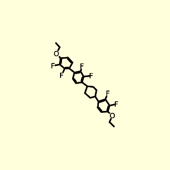 CCOc1ccc(-c2ccc(C3CCC(c4ccc(OCC)c(F)c4F)CC3)c(F)c2F)c(F)c1F